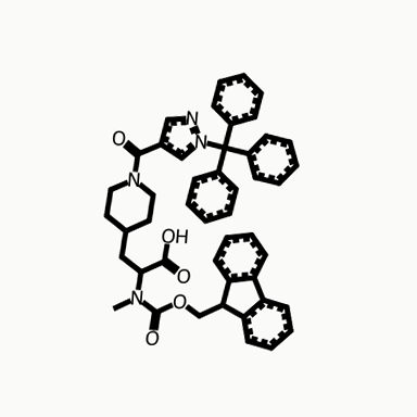 CN(C(=O)OCC1c2ccccc2-c2ccccc21)C(CC1CCN(C(=O)c2cnn(C(c3ccccc3)(c3ccccc3)c3ccccc3)c2)CC1)C(=O)O